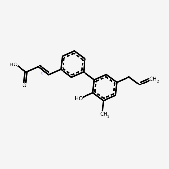 C=CCc1cc(C)c(O)c(-c2cccc(/C=C/C(=O)O)c2)c1